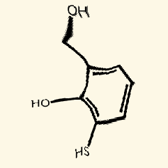 OCc1cccc(S)c1O